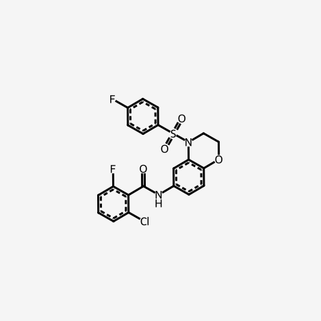 O=C(Nc1ccc2c(c1)N(S(=O)(=O)c1ccc(F)cc1)CCO2)c1c(F)cccc1Cl